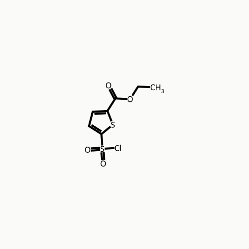 CCOC(=O)c1ccc(S(=O)(=O)Cl)s1